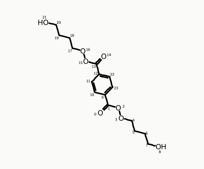 O=C(OOCCCCO)c1ccc(C(=O)OOCCCCO)cc1